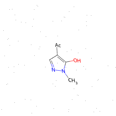 CC(=O)c1cnn(C)c1O